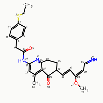 CCSc1ccc(CC(=O)Nc2cc(C)c3c(n2)CCC(/C=C/C(=C\C=N)OC)C3=O)cc1